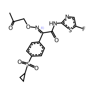 CC(=O)CO/N=C(/C(=O)Nc1ncc(F)s1)c1ccc(S(=O)(=O)C2CC2)cc1